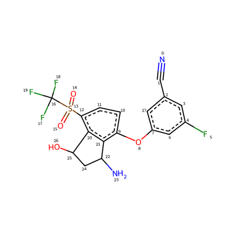 N#Cc1cc(F)cc(Oc2ccc(S(=O)(=O)C(F)(F)F)c3c2C(N)CC3O)c1